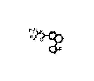 NC(N)=NC(=O)c1ccc2cccc(-c3ccccc3F)c2c1